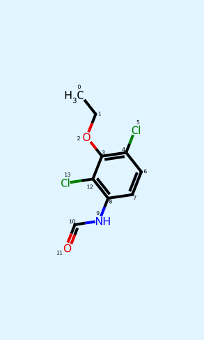 CCOc1c(Cl)ccc(NC=O)c1Cl